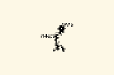 CCCCCCC[C@H](CCOCC(CO)N=[N+]=[N-])OCc1ccc(OC)cc1